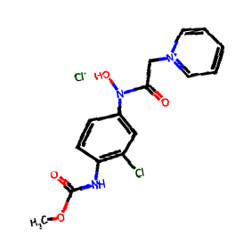 COC(=O)Nc1ccc(N(O)C(=O)C[n+]2ccccc2)cc1Cl.[Cl-]